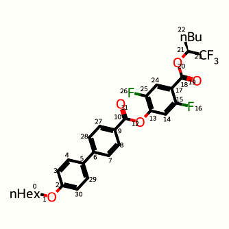 CCCCCCOc1ccc(-c2ccc(C(=O)Oc3cc(F)c(C(=O)O[C@@H](CCCC)C(F)(F)F)cc3F)cc2)cc1